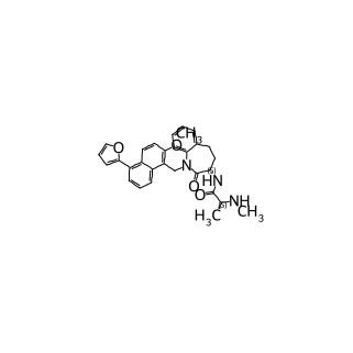 CN[C@@H](C)C(=O)N[C@H]1CCc2ccccc2N(Cc2c(OC)ccc3c(-c4ccco4)cccc23)C1=O